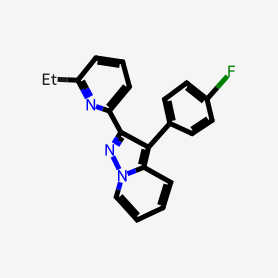 CCc1cccc(-c2nn3ccccc3c2-c2ccc(F)cc2)n1